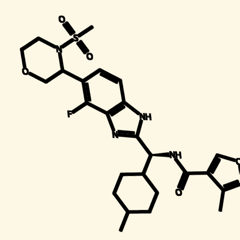 Cc1nocc1C(=O)N[C@H](c1nc2c(F)c(C3COCCN3S(C)(=O)=O)ccc2[nH]1)C1CCC(C)CC1